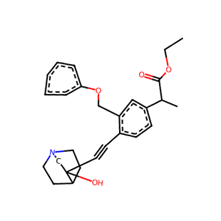 CCOC(=O)C(C)c1ccc(C#CC2(O)CN3CCC2CC3)c(COc2ccccc2)c1